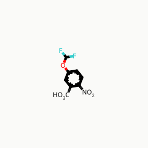 O=C(O)c1cc(OC(F)F)ccc1[N+](=O)[O-]